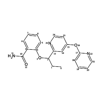 CCC(Oc1ccccc1C(N)=O)c1cc(Oc2ccccn2)ccn1